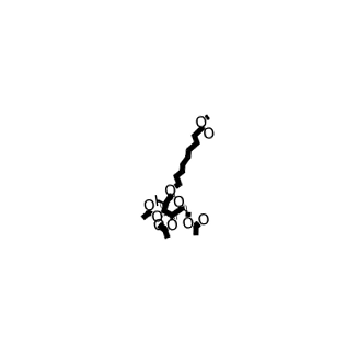 COC(=O)CCCCCCCCO[C@H]1O[C@H](COC(C)=O)[C@@H](OC(C)=O)[C@H](OC(C)=O)[C@H]1I